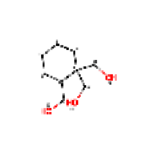 OCC1CCCCC1(CO)CO